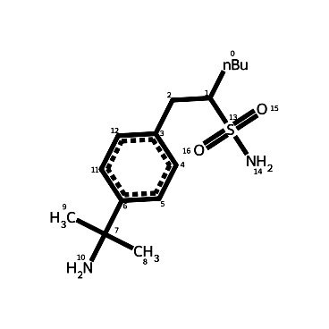 CCCCC(Cc1ccc(C(C)(C)N)cc1)S(N)(=O)=O